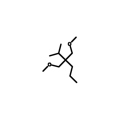 CCCC(COC)(COC)C(C)C